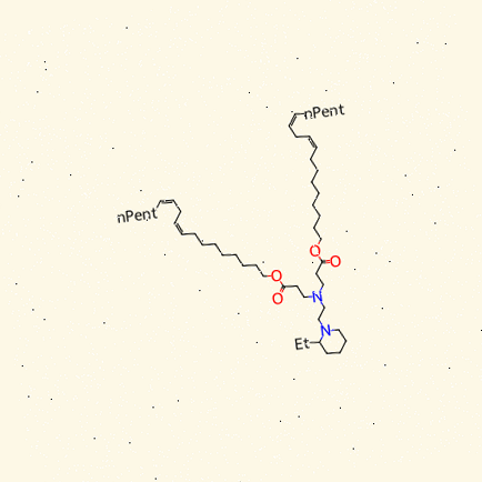 CCCCC/C=C\C/C=C\CCCCCCCCOC(=O)CCN(CCC(=O)OCCCCCCCC/C=C\C/C=C\CCCCC)CCN1CCCCC1CC